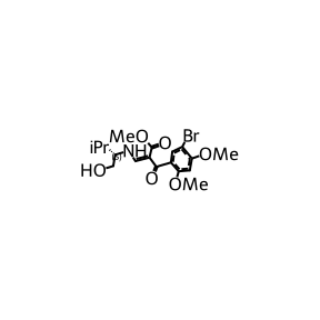 COC(=O)C(=CN[C@H](CO)C(C)C)C(=O)c1cc(Br)c(OC)cc1OC